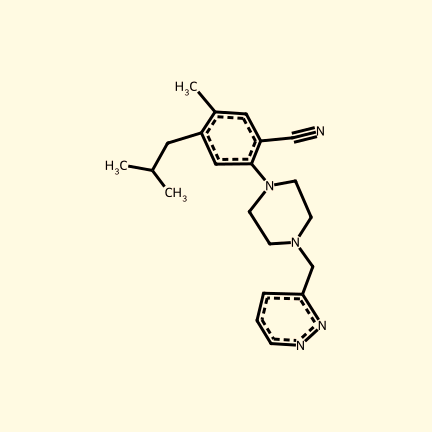 Cc1cc(C#N)c(N2CCN(Cc3cccnn3)CC2)cc1CC(C)C